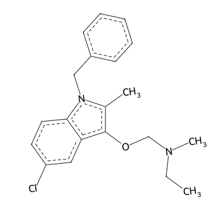 CCN(C)COc1c(C)n(Cc2ccccc2)c2ccc(Cl)cc12